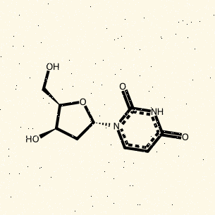 O=c1ccn([C@@H]2C[C@@H](O)[C@@H](CO)O2)c(=O)[nH]1